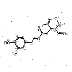 CC1=CO[C@H](C)[C@@H](C=O)C1CC(=O)OCCc1ccc(O)c(O)c1